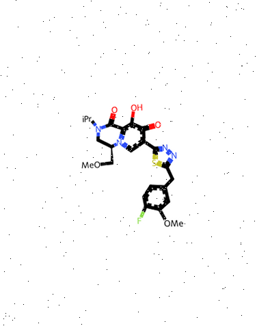 COC[C@H]1CN(C(C)C)C(=O)c2c(O)c(=O)c(-c3nnc(Cc4ccc(F)c(OC)c4)s3)cn21